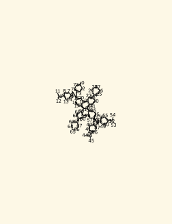 Cc1ccc(N(c2ccc(C(C)C)cc2)c2ccc3c(c2)c2cc(C4CCCCC4)ccc2c2c4ccc(N(c5ccc(C(C)C)cc5)c5ccc(C(C)C)cc5)cc4c4cc(C5CCCCC5)ccc4c32)cc1